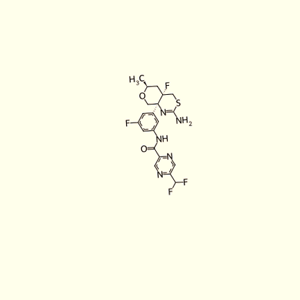 C[C@H]1C[C@@]2(F)CSC(N)=N[C@@]2(c2cc(F)cc(NC(=O)c3cnc(C(F)F)cn3)c2)CO1